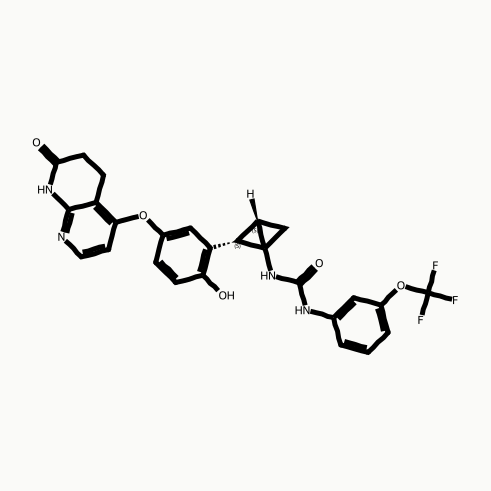 O=C1CCc2c(Oc3ccc(O)c([C@@H]4[C@@H]5CC45NC(=O)Nc4cccc(OC(F)(F)F)c4)c3)ccnc2N1